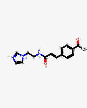 COC(=O)c1ccc(/C=C/C(=O)NCCn2ccnc2)cc1